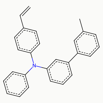 C=Cc1ccc(N(c2ccccc2)c2cccc(-c3cccc(C)c3)c2)cc1